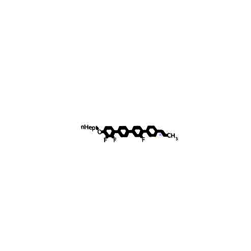 C/C=C/C1CC=C(c2ccc(-c3ccc(-c4ccc(OCCCCCCC)c(F)c4F)cc3)cc2F)CC1